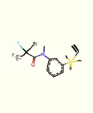 C=CS(=C)(C)(C)c1cccc(N(C)C(=O)C(F)(C(C)C)C(F)(F)F)c1